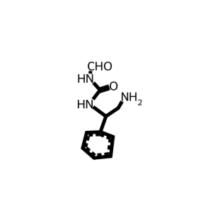 NCC(NC(=O)NC=O)c1ccccc1